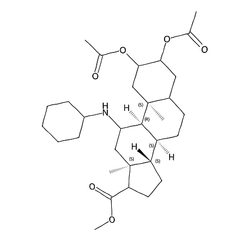 COC(=O)C1CC[C@H]2[C@@H]3CCC4CC(OC(C)=O)C(OC(C)=O)C[C@]4(C)[C@@H]3C(NC3CCCCC3)C[C@]12C